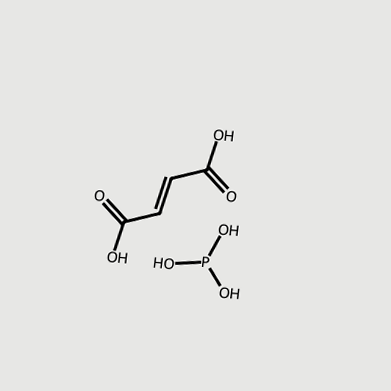 O=C(O)C=CC(=O)O.OP(O)O